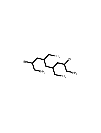 CCC(CN)CC(CN)CC(CN)CC(CC)CN